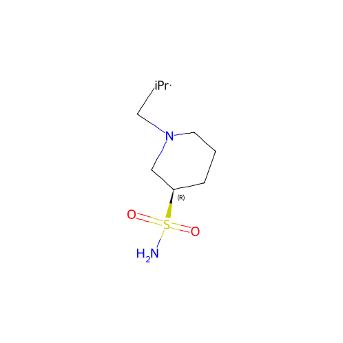 C[C](C)CN1CCC[C@@H](S(N)(=O)=O)C1